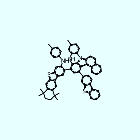 Cc1ccc(Nc2cc3sc4cc5c(cc4c3cc2-c2cc(-c3ccc4c(c3)sc3ccccc34)c3c4c6ccccc6ccc4n4c3c2Bc2cc(C)ccc2-4)C(C)(C)CCC5(C)C)cc1